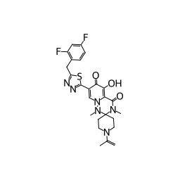 C=C(C)N1CCC2(CC1)N(C)C(=O)c1c(O)c(=O)c(-c3nnc(Cc4ccc(F)cc4F)s3)cn1N2C